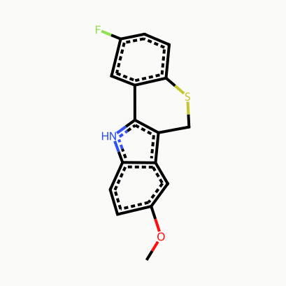 COc1ccc2[nH]c3c(c2c1)CSc1ccc(F)cc1-3